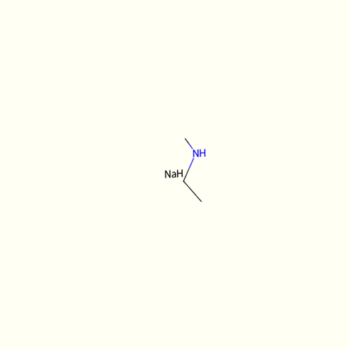 CCNC.[NaH]